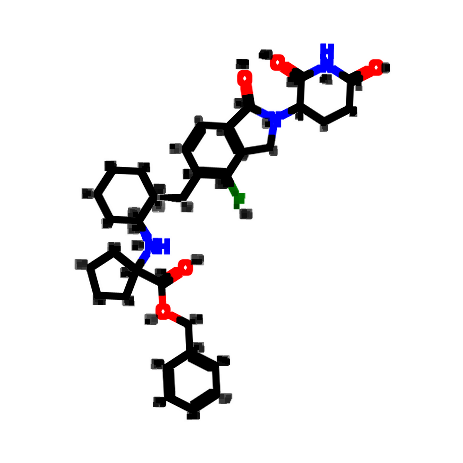 O=C1CCC(N2Cc3c(ccc(C[C@H]4CCCC[C@@H]4NC4(C(=O)OCc5ccccc5)CCCC4)c3F)C2=O)C(=O)N1